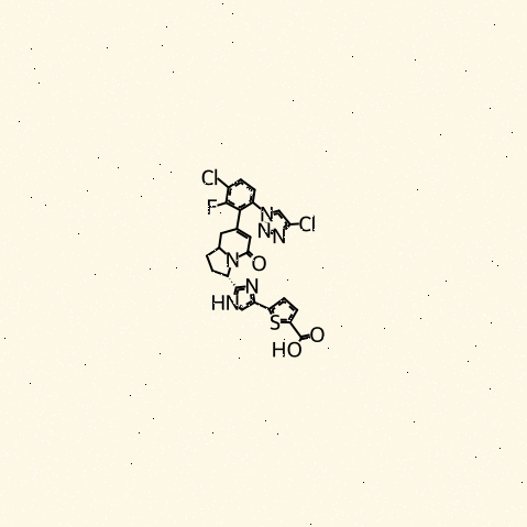 O=C(O)c1ccc(-c2c[nH]c([C@@H]3CCC4CC(c5c(-n6cc(Cl)nn6)ccc(Cl)c5F)=CC(=O)N43)n2)s1